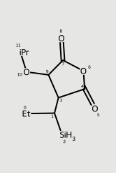 CCC([SiH3])C1C(=O)OC(=O)C1OC(C)C